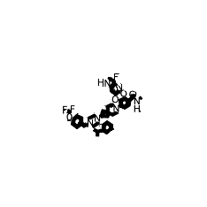 CNC(=O)c1ccc(N2CCC3(CC2)CC(N2CCN(Cc4ccc(OC(F)F)cc4)C[C@H]2c2ccccc2C(C)C)C3)cc1Oc1nc2c(F)c[nH]c2cc1OC